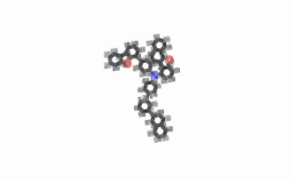 c1cc(-c2ccc(N(c3ccc(-c4cccc5c4oc4ccccc45)cc3)c3cccc4oc5c6ccccc6ccc5c34)cc2)cc(-c2ccc3ccccc3c2)c1